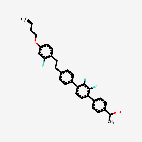 C=CCCOc1ccc(CCc2ccc(-c3ccc(-c4ccc(C(C)O)cc4)c(F)c3F)cc2)c(F)c1